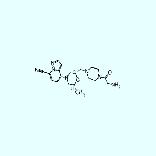 C[C@@H]1CN(c2ccc(C#N)n3nccc23)C[C@H](CN2CCN(C(=O)CN)CC2)O1